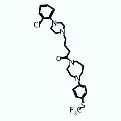 O=C(CCCN1CCN(c2ccccc2Cl)CC1)N1CCCN(c2ccc(SC(F)(F)F)cc2)CC1